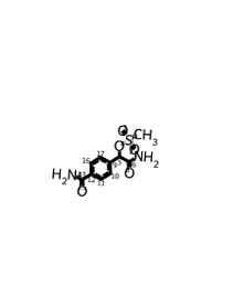 CS(=O)(=O)OC(C(N)=O)c1ccc(C(N)=O)cc1